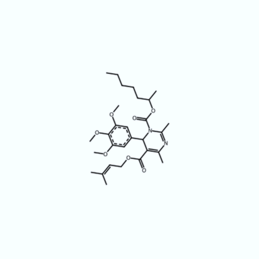 CCCCCC(C)OC(=O)N1C(C)=NC(C)=C(C(=O)OCC=C(C)C)C1c1cc(OC)c(OC)c(OC)c1